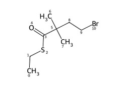 CCSC(=O)C(C)(C)CCBr